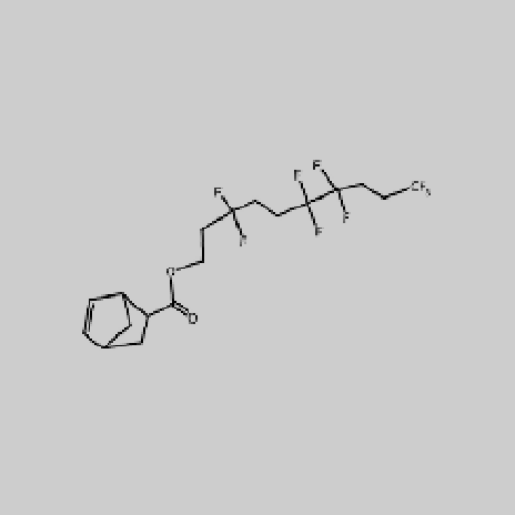 O=C(OCCC(F)(F)CCC(F)(F)C(F)(F)CCC(F)(F)F)C1CC2C=CC1C2